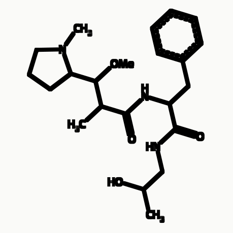 COC(C(C)C(=O)NC(Cc1ccccc1)C(=O)NCC(C)O)C1CCCN1C